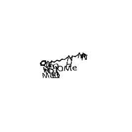 CC[C@H]1CN2CC[C@]3(C(=O)N(CCCCCCCNCCCn4ccnc4)c4ccccc43)[C@@H]2C[C@@H]1/C(=C\OC)C(=O)OC